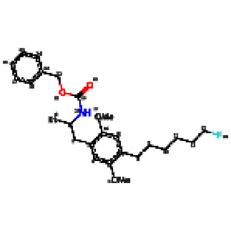 CCC(Cc1cc(OC)c(CCCCCCF)cc1OC)NC(=O)OCc1ccccc1